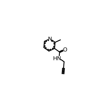 C#CCNC(=O)c1cccnc1C